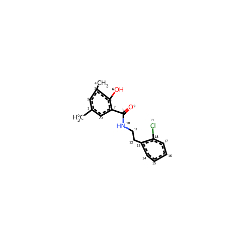 Cc1cc(C)c(O)c(C(=O)NCCc2ccccc2Cl)c1